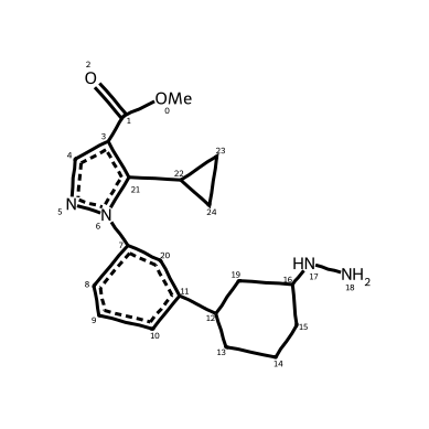 COC(=O)c1cnn(-c2cccc(C3CCCC(NN)C3)c2)c1C1CC1